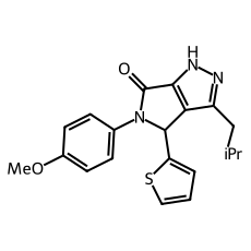 COc1ccc(N2C(=O)c3[nH]nc(CC(C)C)c3C2c2cccs2)cc1